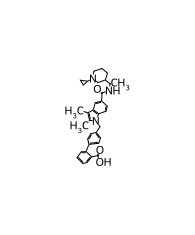 Cc1c(C)n(Cc2ccc(-c3ccccc3C(=O)O)cc2)c2ccc(C(=O)NC(C)C3CCCN(C4CC4)C3)cc12